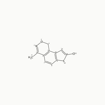 CC1=NOCc2c1ccc1sc(Cl)cc21